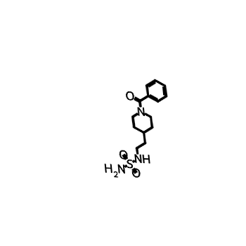 NS(=O)(=O)NCCC1CCN(C(=O)c2ccccc2)CC1